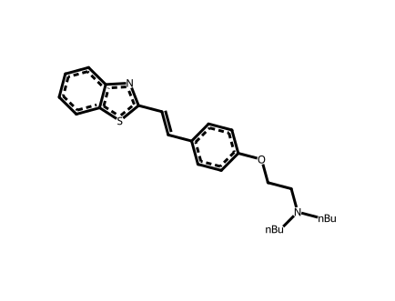 CCCCN(CCCC)CCOc1ccc(/C=C/c2nc3ccccc3s2)cc1